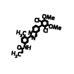 C=CC(=O)Nc1ccc(C)c(-c2ncc3cc(-c4c(Cl)c(OC)cc(OC)c4Cl)ccc3n2)c1